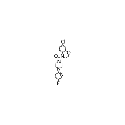 O=C(N1CCN(c2ccc(F)cn2)CC1)N1CCOc2cc(Cl)ccc21